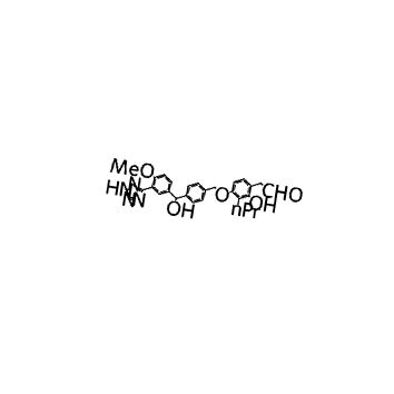 CCCc1c(OCc2ccc(C(O)c3ccc(OC)c(-c4nn[nH]n4)c3)cc2)ccc(CC=O)c1O